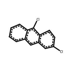 Clc1[c]cc2c(Cl)c3cc[c]cc3cc2c1